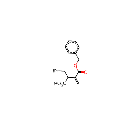 C=C(C(=O)OCc1ccccc1)C(CC(C)C)C(=O)O